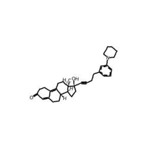 C[C@]12CCC3=C4CCC(=O)C=C4CC[C@H]3[C@@H]1CC[C@@]2(O)C#CCCc1cccc(N2CCCCC2)c1